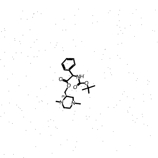 CN1CCN(C)[C@@H](COC(=O)C(NC(=O)OC(C)(C)C)c2ccccc2)C1